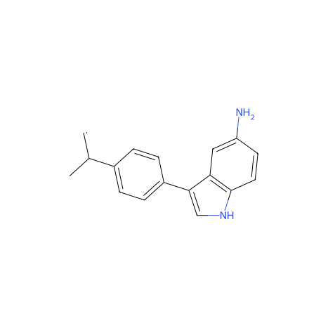 [CH2]C(C)c1ccc(-c2c[nH]c3ccc(N)cc23)cc1